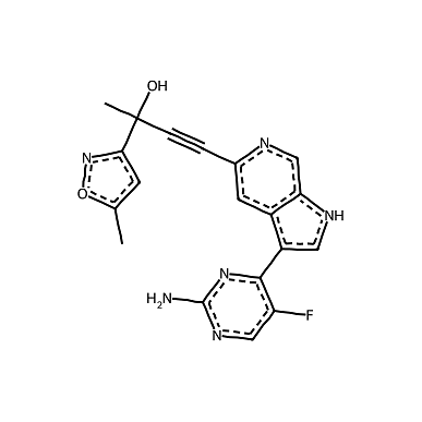 Cc1cc(C(C)(O)C#Cc2cc3c(-c4nc(N)ncc4F)c[nH]c3cn2)no1